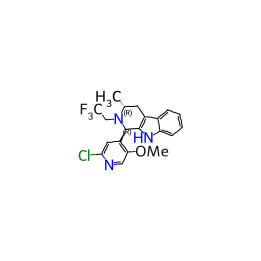 COc1cnc(Cl)cc1[C@@H]1c2[nH]c3ccccc3c2C[C@@H](C)N1CC(F)(F)F